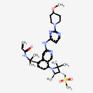 C=CC(=O)NC(C)(C)c1ccc(N2[C@H](C)[C@@H](CS(C)(=O)=O)C2(C)C)c2cnc(Nc3ccnc(N4CCC(OC)CC4)n3)cc12